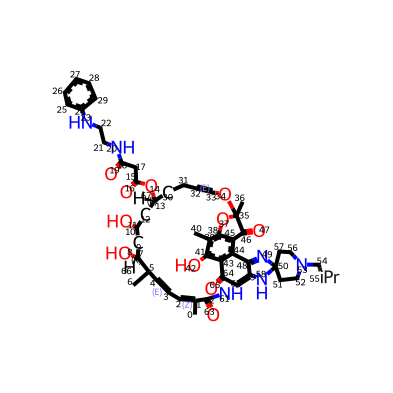 C/C1=C/C=C/C(C)[C@H](O)CC(O)C[C@H](OC(=O)CC(=O)NCCNc2ccccc2)CC/C=C/OC2(C)Oc3c(C)c(O)c4c(c3C2=O)C2=NC3(CCN(CC(C)C)CC3)NC2=C(NC1=O)C4=O